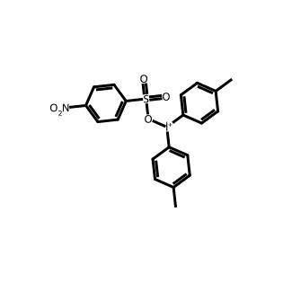 Cc1ccc([I+](OS(=O)(=O)c2ccc([N+](=O)[O-])cc2)c2ccc(C)cc2)cc1